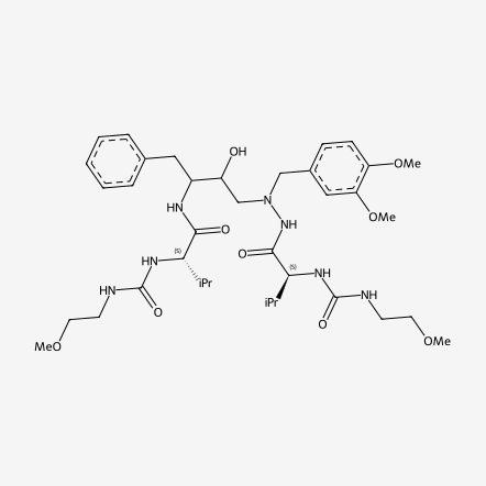 COCCNC(=O)N[C@H](C(=O)NC(Cc1ccccc1)C(O)CN(Cc1ccc(OC)c(OC)c1)NC(=O)[C@@H](NC(=O)NCCOC)C(C)C)C(C)C